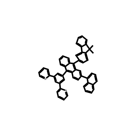 CC1(C)c2ccccc2-c2cc(-c3c4ccccc4c(-c4cc(-c5ccccn5)cc(-c5ccccn5)c4)c4ccc(-c5cccc6ccccc56)cc34)ccc21